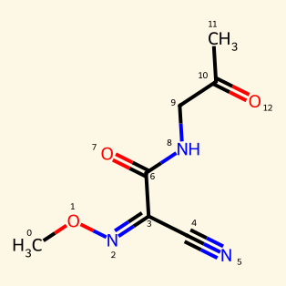 CON=C(C#N)C(=O)NCC(C)=O